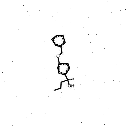 CCCC(C)(O)c1ccc(OCc2ccccc2)cc1